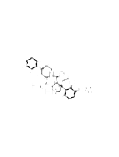 COc1cccc2c1OCC[C@]21CNC[C@H]1C(=O)N1CC[C@@H](c2ccccc2)C[C@H]1CC(F)(F)F